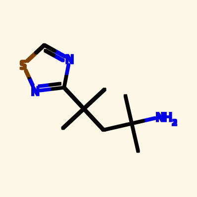 CC(C)(N)CC(C)(C)c1ncsn1